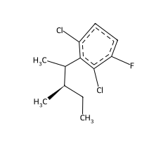 CC[C@@H](C)C(C)c1c(Cl)ccc(F)c1Cl